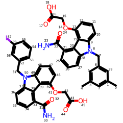 Cc1cc(C)cc(Cn2c3cccc(OCC(=O)O)c3c3c(C(N)=O)cccc32)c1.NC(=O)c1cccc2c1c1c(OCC(=O)O)cccc1n2Cc1cccc(I)c1